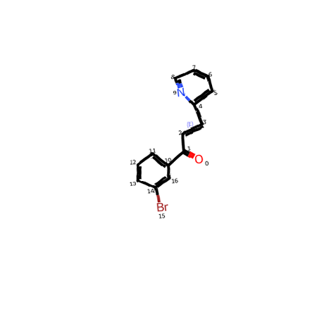 O=C(/C=C/c1ccccn1)c1cccc(Br)c1